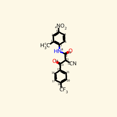 Cc1cc([N+](=O)[O-])ccc1NC(=O)C(C#N)C(=O)c1ccc(C(F)(F)F)cc1